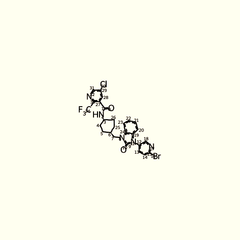 O=C(N[C@H]1CC[C@H](Cn2c(=O)n(-c3ccc(Br)nc3)c3ccccc32)CC1)c1cc(Cl)cnc1C(F)(F)F